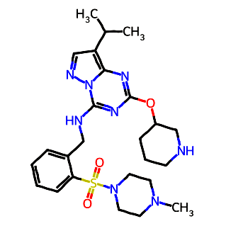 CC(C)c1cnn2c(NCc3ccccc3S(=O)(=O)N3CCN(C)CC3)nc(OC3CCCNC3)nc12